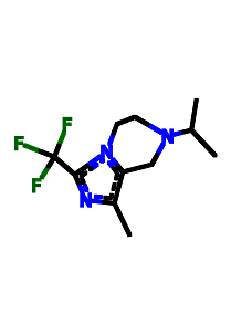 Cc1nc(C(F)(F)F)n2c1CN(C(C)C)CC2